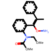 COCN(C(=O)OC)c1ccccc1C(ON)=C(C)c1ccccc1